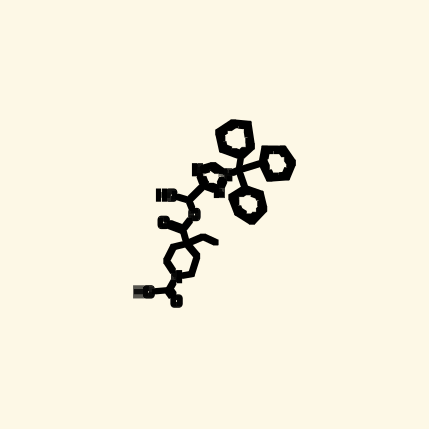 CCC1(C(=O)OC(O)c2ncn(C(c3ccccc3)(c3ccccc3)c3ccccc3)n2)CCN(C(=O)O)CC1